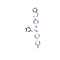 Nc1c(Br)cc(C[C@@H](NC(=O)N2CCC(N3CCc4ccccc4NC3=O)CC2)C(=O)N2CCC(N3CCC(CC(=O)O)CC3)CC2)cc1Br